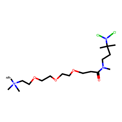 CCC[N+](C)(C)CCOCCOCCOCCC(=O)N(C)CCC(C)(C)N(Cl)Cl